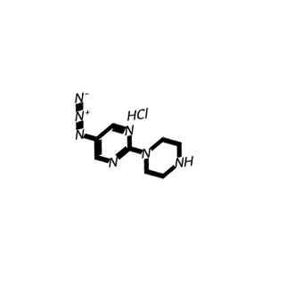 Cl.[N-]=[N+]=Nc1cnc(N2CCNCC2)nc1